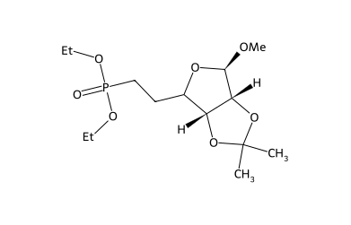 CCOP(=O)(CCC1O[C@@H](OC)[C@@H]2OC(C)(C)O[C@H]12)OCC